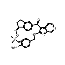 COc1ccc(CNc2sc3cnccc3c2C(=O)c2ccc3c(c2)CC/C3=N/O[Si](C)(C)C(C)(C)C)cc1